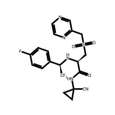 N#CC1(NC(=O)[C@H](CS(=O)(=O)Cc2cnccn2)N[C@H](c2ccc(F)cc2)C(F)(F)F)CC1